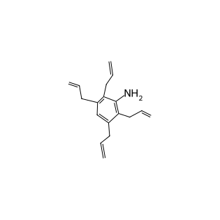 C=CCc1cc(CC=C)c(CC=C)c(N)c1CC=C